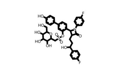 O=C1C(CCC(O)c2ccc(F)cc2)C(c2ccc(-c3ccc(O)cc3)cc2OS(=O)(=O)CC2OC(CO)C(O)C(O)C2O)N1c1ccc(F)cc1